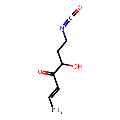 CC=CC(=O)C(O)CCN=C=O